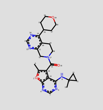 Cc1oc2ncnc(NC3(C)CC3)c2c1C(=O)N1CCc2c(ncnc2C2CCOCC2)C1